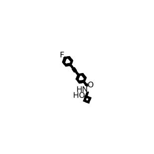 O=C(NCC1(O)CCC1)c1ccc(C#Cc2ccc(F)cc2)cc1